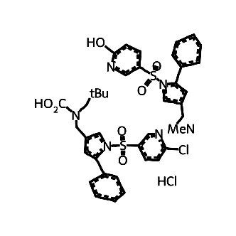 CC(C)(C)CN(Cc1cc(-c2ccccc2)n(S(=O)(=O)c2ccc(Cl)nc2)c1)C(=O)O.CNCc1cc(-c2ccccc2)n(S(=O)(=O)c2ccc(O)nc2)c1.Cl